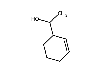 CC(O)C1C=CCCC1